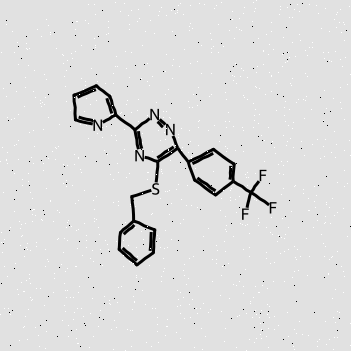 FC(F)(F)c1ccc(-c2nnc(-c3ccccn3)nc2SCc2ccccc2)cc1